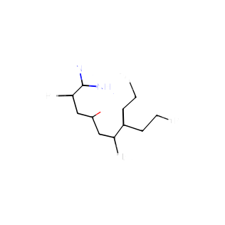 CCCCC(CC(O)CC(CCCC)C(CCC(C)(C)C)CCC(C)(C)C)C(N)N